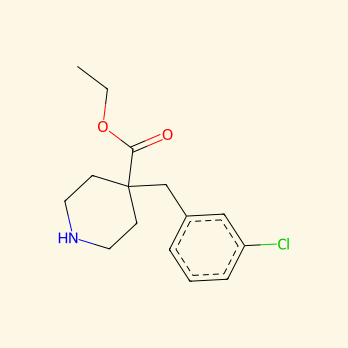 CCOC(=O)C1(Cc2cccc(Cl)c2)CCNCC1